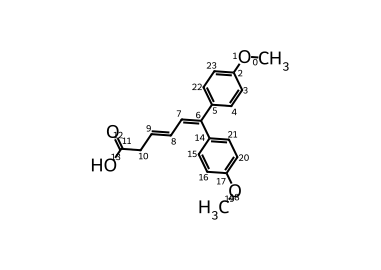 COc1ccc(C(=C/C=C/CC(=O)O)c2ccc(OC)cc2)cc1